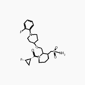 NS(=O)(=O)CC1CCCN(C(=O)[C@@H]2C[C@@H]2F)C1COC1CCN(c2ccccc2F)CC1